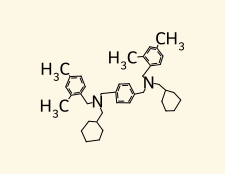 Cc1ccc(CN(Cc2ccc(CN(Cc3ccc(C)cc3C)CC3CCCCC3)cc2)CC2CCCCC2)c(C)c1